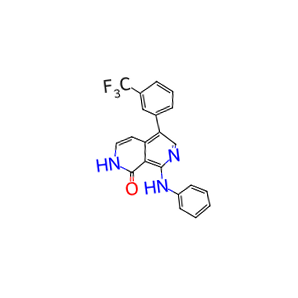 O=c1[nH]ccc2c(-c3cccc(C(F)(F)F)c3)cnc(Nc3ccccc3)c12